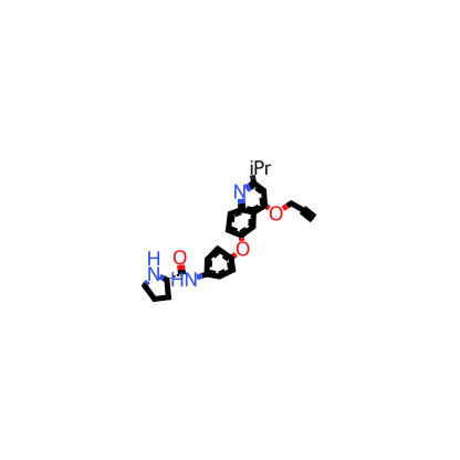 C#CCOc1cc(C(C)C)nc2ccc(Oc3ccc(NC(=O)[C@@H]4CCCN4)cc3)cc12